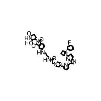 O=C(CN1CCN(c2cccc(-c3cnc4ccc(N5CCC[C@@H]5c5cccc(F)c5)nn34)n2)CC1)NCCCNc1ccc2c(c1)C(=O)N(C1CCC(=O)NC1O)C2=O